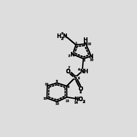 Nc1nc(NS(=O)(=O)c2ccccc2[N+](=O)[O-])n[nH]1